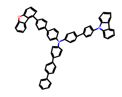 c1ccc(-c2ccc(-c3ccc(N(c4ccc(-c5ccc(-c6cccc7oc8ccccc8c67)cc5)cc4)c4ccc(-c5ccc(-n6c7ccccc7c7ccccc76)cc5)cc4)cc3)cc2)cc1